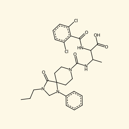 CCCN1CN(c2ccccc2)C2(CCN(C(=O)NC(C)C(NC(=O)c3c(Cl)cccc3Cl)C(=O)O)CC2)C1=O